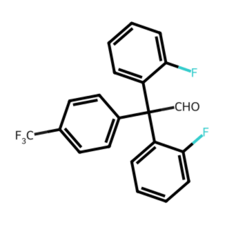 O=CC(c1ccc(C(F)(F)F)cc1)(c1ccccc1F)c1ccccc1F